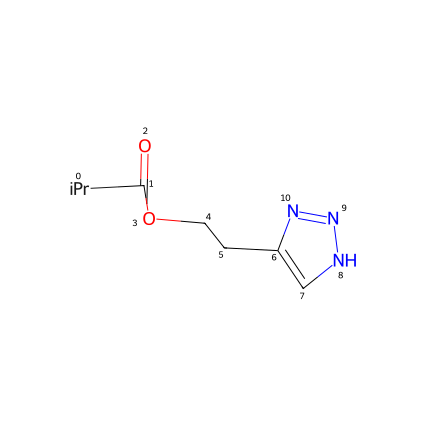 CC(C)C(=O)OCCc1c[nH]nn1